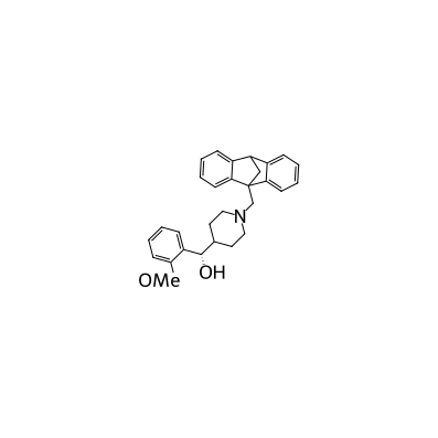 COc1ccccc1[C@@H](O)C1CCN(CC23CC(c4ccccc42)c2ccccc23)CC1